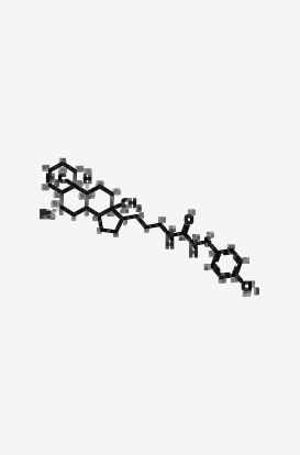 CC[C@H]1CC2C3CCC(CCCNC(=O)NSc4ccc(C(F)(F)F)cc4)C3(C)CC[C@@H]2C2(C)CCCCC12